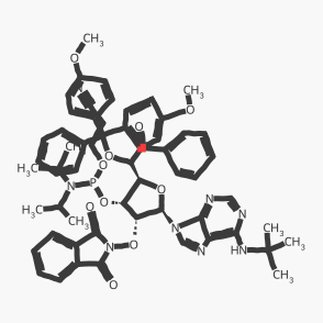 COc1ccc(C(OC(C(=O)c2ccccc2)[C@H]2O[C@@H](n3cnc4c(NC(C)(C)C)ncnc43)[C@H](ON3C(=O)c4ccccc4C3=O)[C@@H]2OP(OCCC#N)N(C(C)C)C(C)C)(c2ccccc2)c2ccc(OC)cc2)cc1